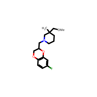 COCC1(C)CCCN(CC2COc3ccc(F)cc3O2)C1